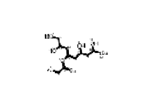 CC(=O)CC(=O)OC(CC(O)CC(O)C(C)(C)C)CC(O)CC(C)(C)C